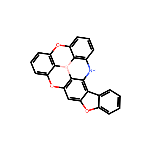 c1cc2c3c(c1)Oc1cccc4c1B3c1c(cc3oc5ccccc5c3c1N2)O4